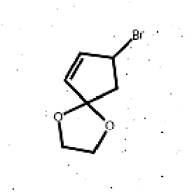 BrC1C=CC2(C1)OCCO2